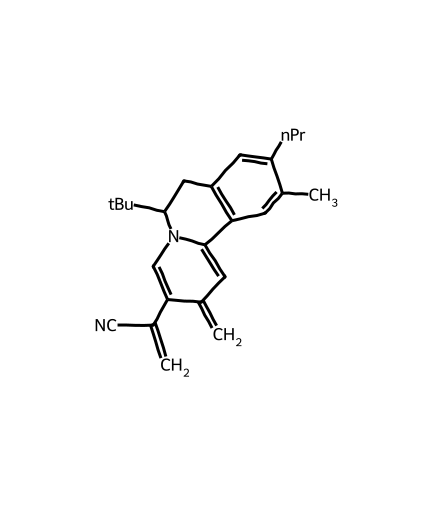 C=C(C#N)C1=CN2C(=CC1=C)c1cc(C)c(CCC)cc1CC2C(C)(C)C